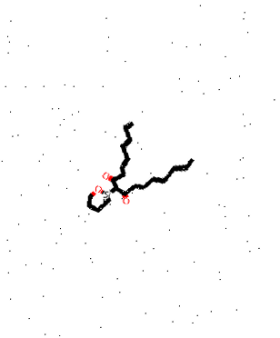 CCCCCCCC(=O)C(C(=O)CCCCCCC)[SiH]1CCCCO1